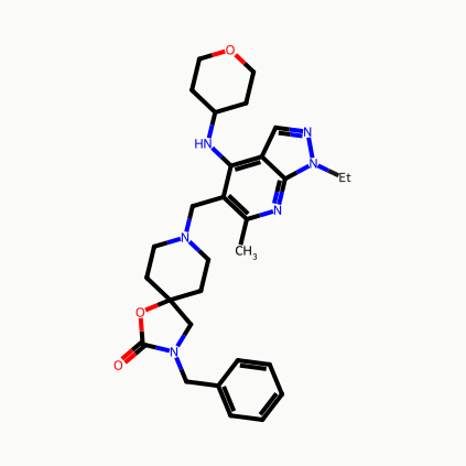 CCn1ncc2c(NC3CCOCC3)c(CN3CCC4(CC3)CN(Cc3ccccc3)C(=O)O4)c(C)nc21